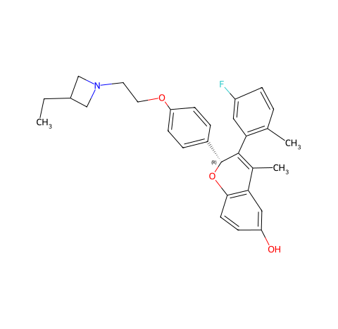 CCC1CN(CCOc2ccc([C@H]3Oc4ccc(O)cc4C(C)=C3c3cc(F)ccc3C)cc2)C1